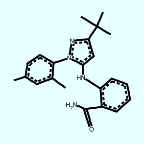 Cc1ccc(-n2nc(C(C)(C)C)cc2Nc2ccccc2C(N)=O)c(C)c1